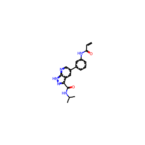 C=CC(=O)Nc1cccc(-c2cnc3[nH]nc(C(=O)NC(C)C)c3c2)c1